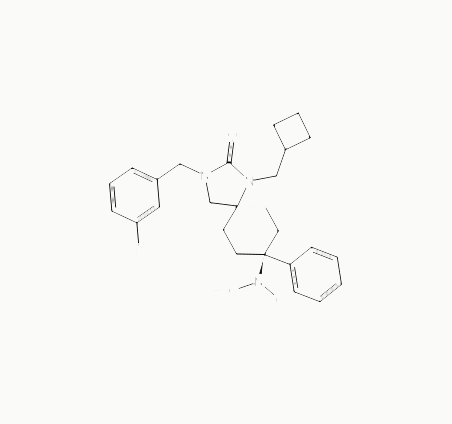 CN(C)[C@]1(c2ccccc2)CC[C@]2(CC1)CN(Cc1cccc(Br)c1)C(=O)N2CC1CCC1